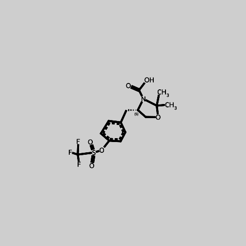 CC1(C)OC[C@H](Cc2ccc(OS(=O)(=O)C(F)(F)F)cc2)N1C(=O)O